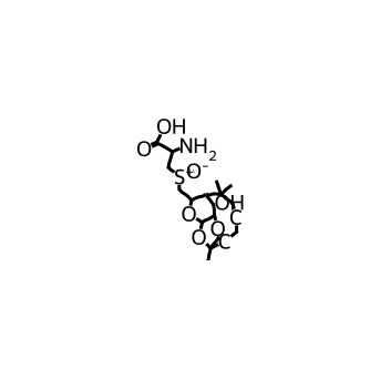 CC12CCCCC(C)(C)C3C(C[S+]([O-])CC(N)C(=O)O)OC(O1)C(OC2)C3O